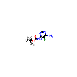 CC(C)(C)OC(=O)Nc1ncnc(N)c1F